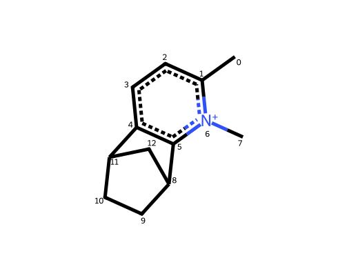 Cc1ccc2c([n+]1C)C1CCC2C1